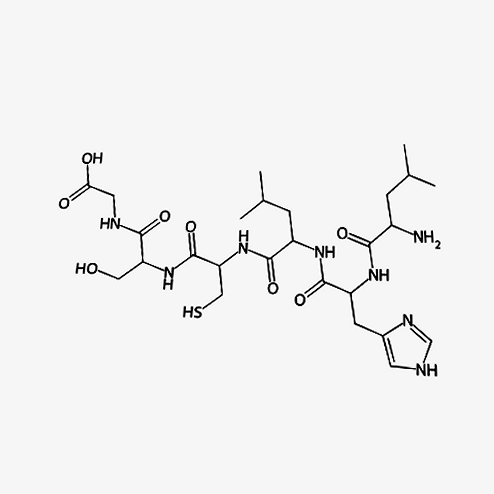 CC(C)CC(N)C(=O)NC(Cc1c[nH]cn1)C(=O)NC(CC(C)C)C(=O)NC(CS)C(=O)NC(CO)C(=O)NCC(=O)O